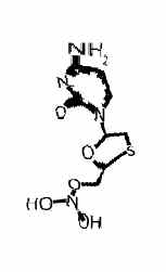 Nc1ccn([C@H]2CS[C@@H](CON(O)O)O2)c(=O)n1